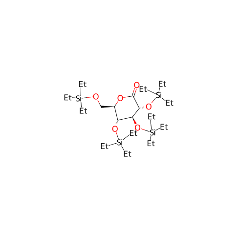 CC[Si](CC)(CC)OC[C@H]1OC(=O)[C@H](O[Si](CC)(CC)CC)[C@@H](O[Si](CC)(CC)CC)[C@@H]1O[Si](CC)(CC)CC